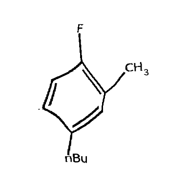 CCCCc1[c]cc(F)c(C)c1